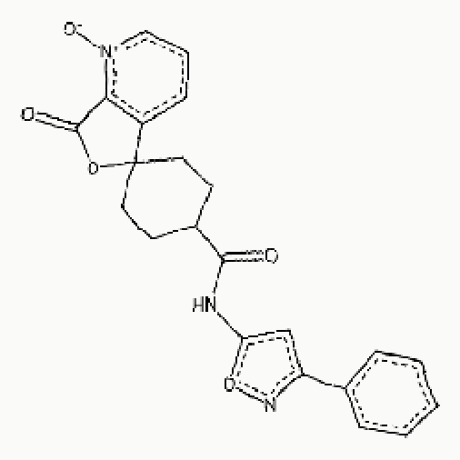 O=C1OC2(CCC(C(=O)Nc3cc(-c4ccccc4)no3)CC2)c2ccc[n+]([O-])c21